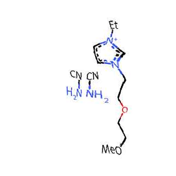 CC[n+]1ccn(CCOCCOC)c1.N#CN.N#CN